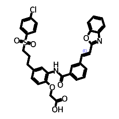 O=C(O)COc1ccc(CCCS(=O)(=O)c2ccc(Cl)cc2)cc1NC(=O)c1cccc(/C=C/c2nc3ccccc3o2)c1